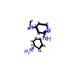 CN(C)c1ccnc(N[C@H]2CC[C@@H](N)CC2)c1